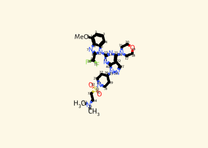 COc1cccc2c1nc(C(F)F)n2-c1nc(N2CCOCC2)c2cnn(C3CCN(S(=O)(=O)CCN(C)C)CC3)c2n1